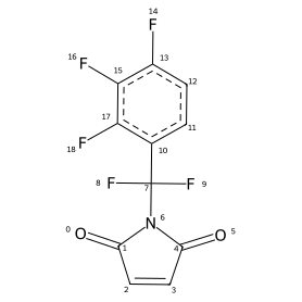 O=C1C=CC(=O)N1C(F)(F)c1ccc(F)c(F)c1F